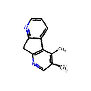 Cc1cnc2c(c1C)-c1cccnc1C2